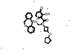 O=C1c2c(O)c(=O)ccn2N([C@H]2c3ccccc3CSc3ccccc32)CN1C1CC(OC2CCCC2)C1